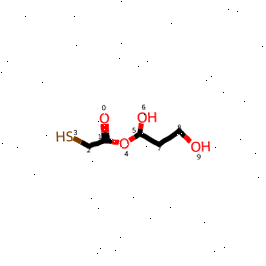 O=C(CS)OC(O)CCO